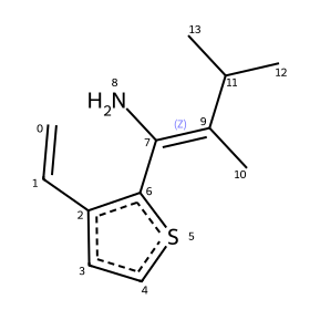 C=Cc1ccsc1/C(N)=C(\C)C(C)C